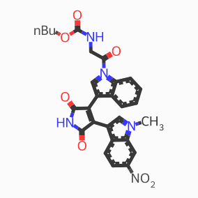 CCCCOC(=O)NCC(=O)n1cc(C2=C(c3cn(C)c4cc([N+](=O)[O-])ccc34)C(=O)NC2=O)c2ccccc21